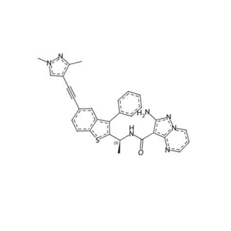 Cc1nn(C)cc1C#Cc1ccc2sc([C@H](C)NC(=O)c3c(N)nn4cccnc34)c(-c3ccccc3)c2c1